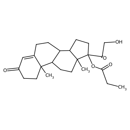 CCC(=O)OC1(C(=O)CO)CCC2C3CCC4=CC(=O)CCC4(C)C3CCC21C